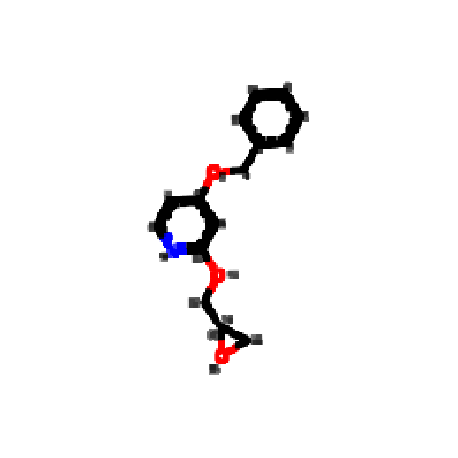 c1ccc(COc2ccnc(OC[C@H]3CO3)c2)cc1